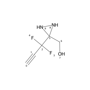 C#CC(F)(F)C1(CO)NN1